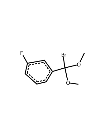 COC(Br)(OC)c1cccc(F)c1